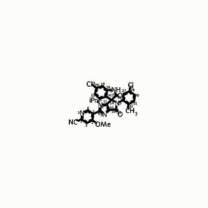 COc1cc(C#N)ncc1-c1nc2c(n1C(C)C)C1(C(=O)Nc3cc(Cl)ccc31)N(c1cc(Cl)ccc1C)C2=O